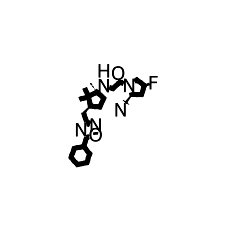 CC1(C)[C@H](Cc2noc(C3CCCCC3)n2)CC[C@]1(C)NCC(=O)N1C[C@@H](F)C[C@H]1C#N